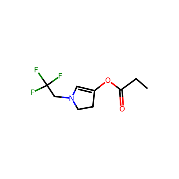 CCC(=O)OC1=CN(CC(F)(F)F)CC1